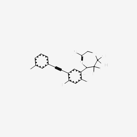 CC1(C)OCC(N)=N[C@](C)(c2cc(C#Cc3cccc(Cl)c3)c(F)cc2F)C1(F)F